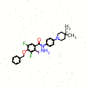 CC1(C)CCN(c2ccc(N(N)C(=O)c3cc(F)c(OCc4ccccc4)c(F)c3I)cc2)CC1